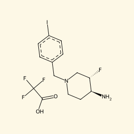 N[C@H]1CCN(Cc2ccc(I)cc2)C[C@@H]1F.O=C(O)C(F)(F)F